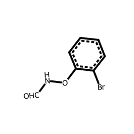 O=CNOc1ccccc1Br